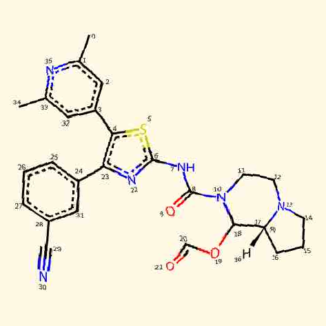 Cc1cc(-c2sc(NC(=O)N3CCN4CCC[C@@H]4C3OC=O)nc2-c2cccc(C#N)c2)cc(C)n1